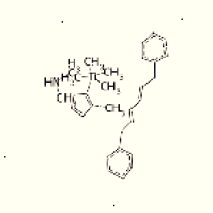 C(C=CCc1ccccc1)=CCc1ccccc1.CC1=[C]([Ti]([CH3])([CH3])([CH3])[CH3])CC=C1.CNC